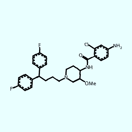 COC1CN(CCCC(c2ccc(F)cc2)c2ccc(F)cc2)CCC1NC(=O)c1ccc(N)cc1Cl